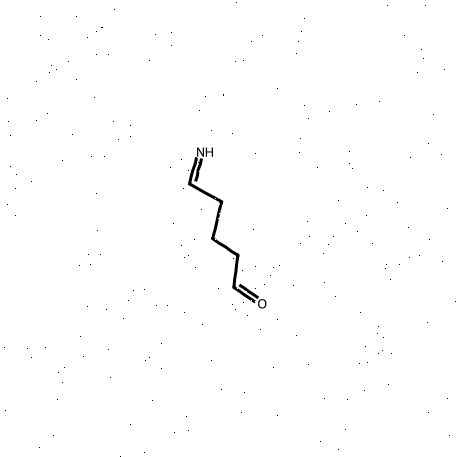 N=CCCCC=O